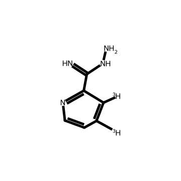 [3H]c1ccnc(C(=N)NN)c1[3H]